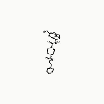 O=C(NC1C2CC3CC1CC(O)(C3)C2)C1CCN(S(=O)(=O)CCc2ccccn2)CC1